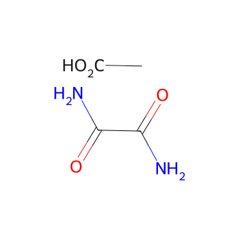 CC(=O)O.NC(=O)C(N)=O